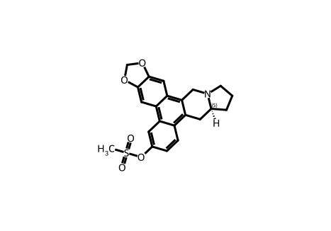 CS(=O)(=O)Oc1ccc2c3c(c4cc5c(cc4c2c1)OCO5)CN1CCC[C@H]1C3